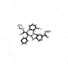 CCOC(=O)/C=C(\c1ccccc1)C1Cc2cnc(C(=O)OS)nc2N1c1c(F)cccc1F